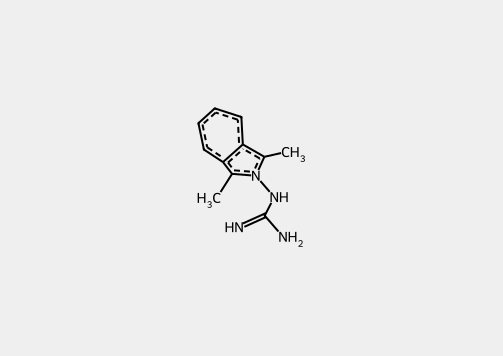 Cc1c2ccccc2c(C)n1NC(=N)N